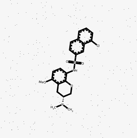 COc1ccc(NS(=O)(=O)c2ccc3cccc(Cl)c3c2)c2c1C[C@@H](N(C)C)CO2